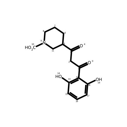 O=C(CC(=O)C1CCCN(C(=O)O)C1)c1c(O)cccc1O